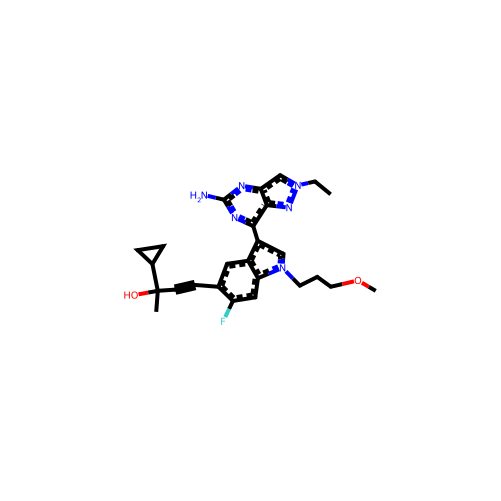 CCn1cc2nc(N)nc(-c3cn(CCCOC)c4cc(F)c(C#CC(C)(O)C5CC5)cc34)c2n1